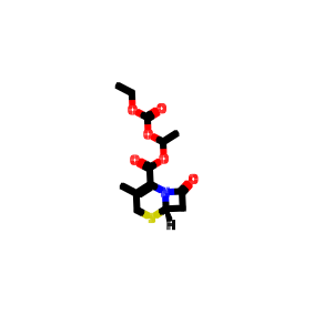 CCOC(=O)OC(C)OC(=O)C1=C(C)CS[C@H]2CC(=O)N12